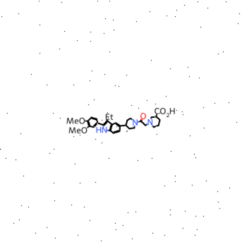 CCc1c(-c2ccc(OC)c(OC)c2)[nH]c2ccc(C3CCN(C(=O)CN4CCCC(C(=O)O)C4)CC3)cc12